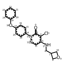 O=c1c(Cl)c(NCC2COC2)cnn1-c1ccc(Oc2ccccc2)cc1